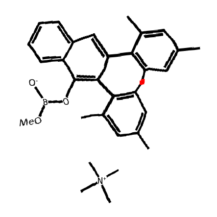 COB([O-])Oc1c(-c2c(C)cc(C)cc2C)c(-c2c(C)cc(C)cc2C)cc2ccccc12.C[N+](C)(C)C